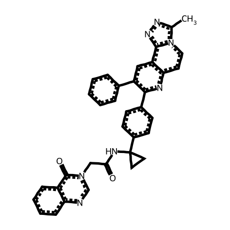 Cc1nnc2c3cc(-c4ccccc4)c(-c4ccc(C5(NC(=O)Cn6cnc7ccccc7c6=O)CC5)cc4)nc3ccn12